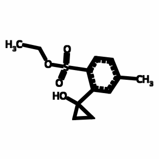 CCOS(=O)(=O)c1ccc(C)cc1C1(O)CC1